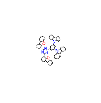 c1ccc2c(c1)oc1c(-c3nc(-c4cc(-n5c6ccccc6c6ccccc65)cc(-n5c6ccccc6c6ccccc65)c4)nc(-c4cccc5c4oc4ccccc45)n3)cccc12